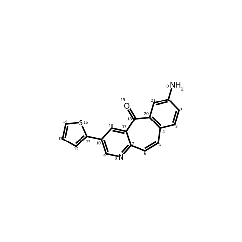 Nc1ccc2ccc3ncc(-c4cccs4)cc3c(=O)c2c1